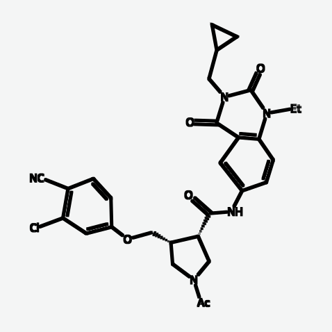 CCn1c(=O)n(CC2CC2)c(=O)c2cc(NC(=O)[C@@H]3CN(C(C)=O)C[C@@H]3COc3ccc(C#N)c(Cl)c3)ccc21